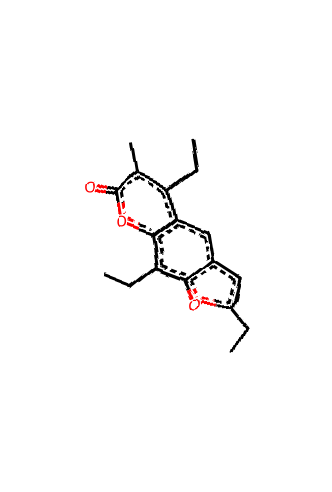 CCc1cc2cc3c(CC)c(C)c(=O)oc3c(CC)c2o1